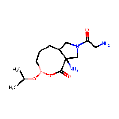 CC(C)OB1CCCC2CN(C(=O)CN)CC2(N)C(=O)O1